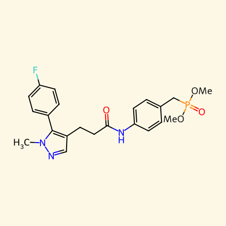 COP(=O)(Cc1ccc(NC(=O)CCc2cnn(C)c2-c2ccc(F)cc2)cc1)OC